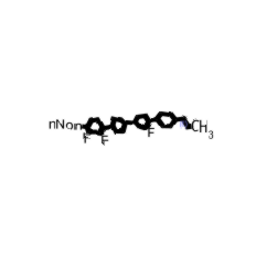 C/C=C/C1CC=C(c2ccc(-c3ccc(-c4ccc(CCCCCCCCC)c(F)c4F)cc3)cc2F)CC1